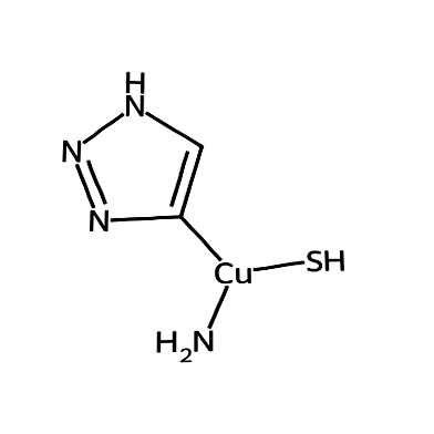 [NH2][Cu]([SH])[c]1c[nH]nn1